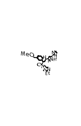 CCc1ncc(CN(C)C(=O)c2cc(-c3cc(-c4ncc[nH]4)n(C)n3)nc3ccc(COC)cc23)n1C